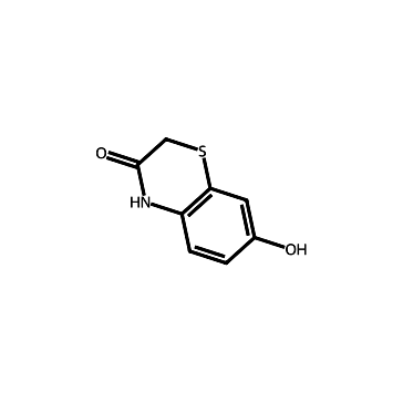 O=C1CSc2cc(O)ccc2N1